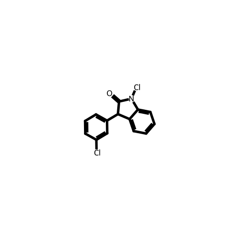 O=C1C(c2cccc(Cl)c2)c2ccccc2N1Cl